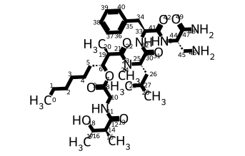 CCCCCC[C@@H](OC(=O)CNC(=O)[C@@H](C)[C@H](C)O)[C@@H](C)C(=O)N(C)[C@@H](CC(C)C)C(=O)N[C@@H](Cc1ccccc1)C(=O)N[C@@H](CN)C(N)=O